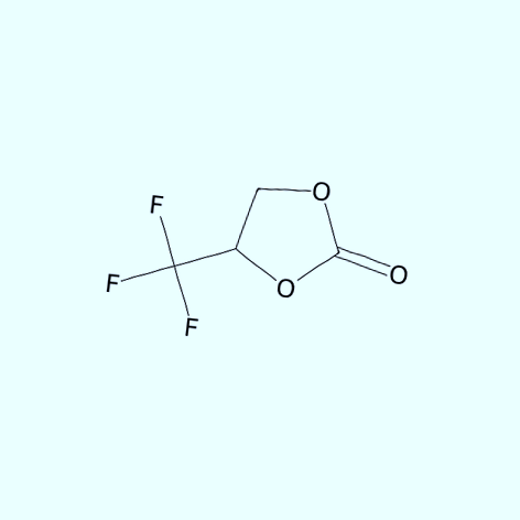 O=C1OCC(C(F)(F)F)O1